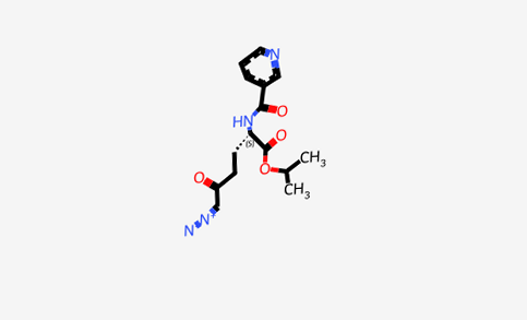 CC(C)OC(=O)[C@H](CCC(=O)C=[N+]=[N-])NC(=O)c1cccnc1